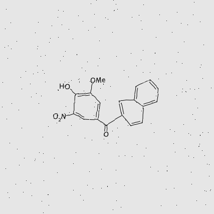 COc1cc(C(=O)c2ccc3ccccc3c2)cc([N+](=O)[O-])c1O